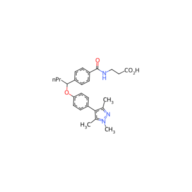 CCCC(Oc1ccc(-c2c(C)nn(C)c2C)cc1)c1ccc(C(=O)NCCC(=O)O)cc1